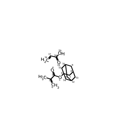 C=C(C)C(=O)OC12CC3CC(CC(C3)C1)C2.C=CC(=O)O